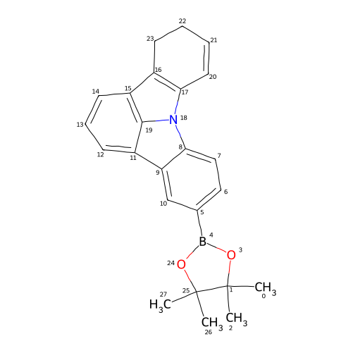 CC1(C)OB(c2ccc3c(c2)c2cccc4c5c(n3c42)C=CCC5)OC1(C)C